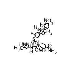 COc1c(Nc2cc(C)[nH]n2)nc(Sc2ccc(S(=O)(=O)C(C)(C)c3cccc([N+](=O)[O-])c3F)cc2F)nc1N1CCC(C(N)=O)CC1